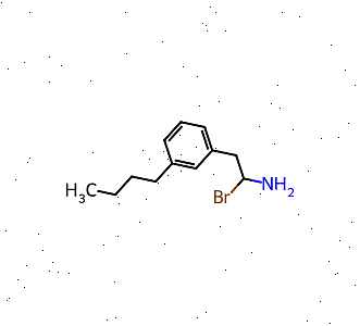 CCCCc1cccc(CC(N)Br)c1